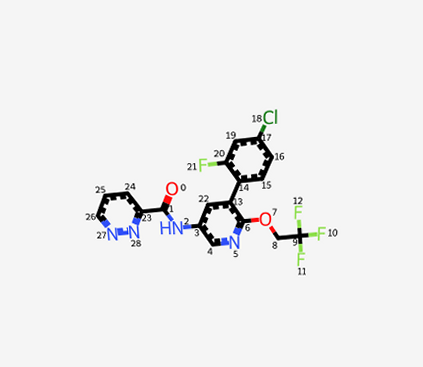 O=C(Nc1cnc(OCC(F)(F)F)c(-c2ccc(Cl)cc2F)c1)c1cccnn1